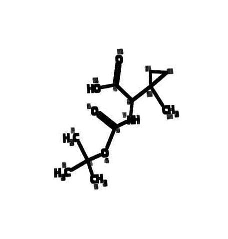 CC(C)(C)OC(=O)NC(C(=O)O)C1(C)CC1